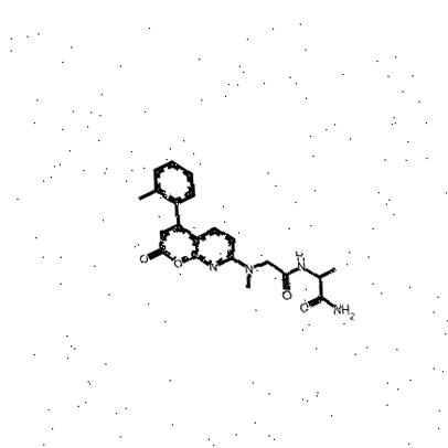 Cc1ccccc1-c1cc(=O)oc2nc(N(C)CC(=O)NC(C)C(N)=O)ccc12